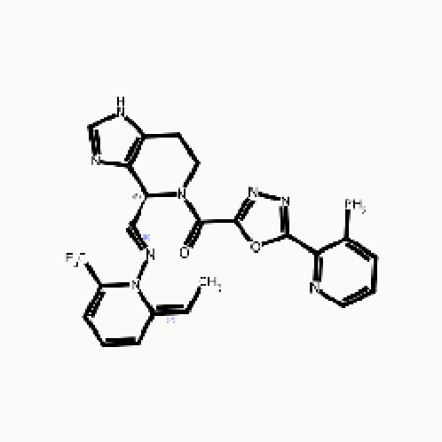 C/C=C1/C=CC=C(C(F)(F)F)N1/N=C/[C@H]1c2nc[nH]c2CCN1C(=O)c1nnc(-c2ncccc2P)o1